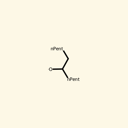 CCCCCCC([O])CCCCC